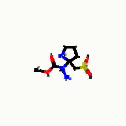 CC(C)(C)OC(=O)N(N)[C@@]1(C[SH](=O)=O)CCCN1